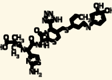 C\C=C/C(=C\C=N\c1ccc(O)c(O)c1)SCC1=C(c2nnn[nH]2)N2C(=O)[C@@H](NC(=O)/C(=N\OC(C)(C)C(=O)O)c3csc(N)n3)[C@H]2SC1